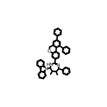 CC1C(c2ccccc2)N=C(c2ccc3c(c2)OCc2cc(-c4ccccc4)cc(-c4ccccc4)c2-3)NC(n2c3ccccc3c3ccccc32)C1C